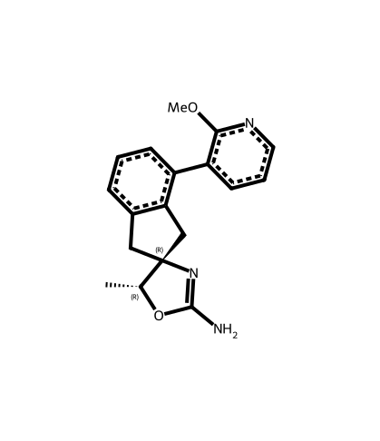 COc1ncccc1-c1cccc2c1C[C@@]1(C2)N=C(N)O[C@@H]1C